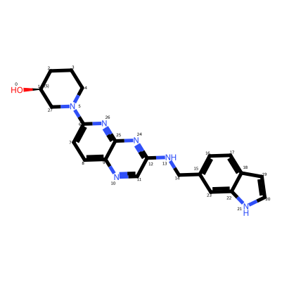 O[C@H]1CCCN(c2ccc3ncc(NCc4ccc5cc[nH]c5c4)nc3n2)C1